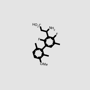 COc1ccc(C)c(-c2cc(C)c(F)c(C(N)CC(=O)O)c2F)c1C